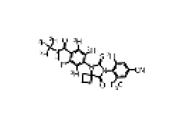 [2H]c1cc(C#N)cc(C(F)(F)F)c1N1C(=O)C2(CCC2)N(c2c([2H])c([2H])c(C(=O)NC([2H])([2H])[2H])c(F)c2[2H])C1=S